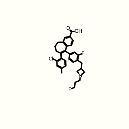 Cc1ccc(C2=C(c3ccc(CC4CN(CCCF)C4)c(F)c3)c3ccc(C(=O)O)cc3CCC2)c(Cl)c1